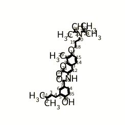 CC(C)=CCc1cc(C(=O)Nc2cc3ccc(OCCCN(C(C)C)C(C)C)c(C)c3oc2=O)ccc1O